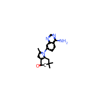 Cc1cc2c(n1-c1ccc3c(N)ncnc3c1)CC(C)(C)CC2=O